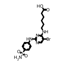 NS(=O)(=O)c1ccc(Nc2ncc(Br)c(NCCCCCC(=O)O)n2)cc1